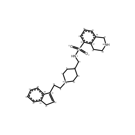 O=S(=O)(NCC1CCN(CCC2=CCc3ccccc32)CC1)c1cccc2c1CCNC2